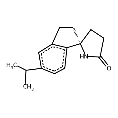 CC(C)c1ccc2c(c1)CC[C@@]21CCC(=O)N1